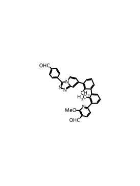 COc1nc(-c2cccc(-c3cccc(-c4ccn5c(-c6ccc(C=O)cc6)nnc5c4)c3C)c2C)ccc1C=O